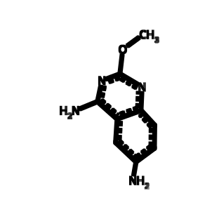 COc1nc(N)c2cc(N)ccc2n1